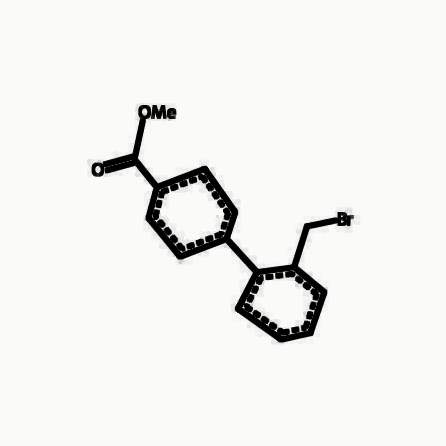 COC(=O)c1ccc(-c2ccccc2CBr)cc1